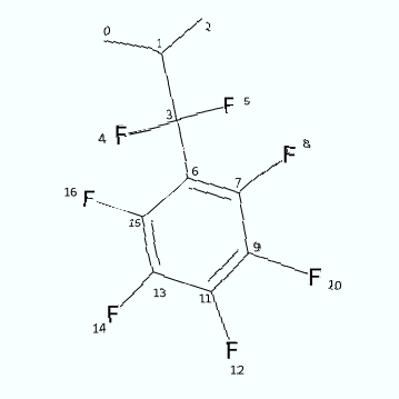 CC(C)C(F)(F)c1c(F)c(F)c(F)c(F)c1F